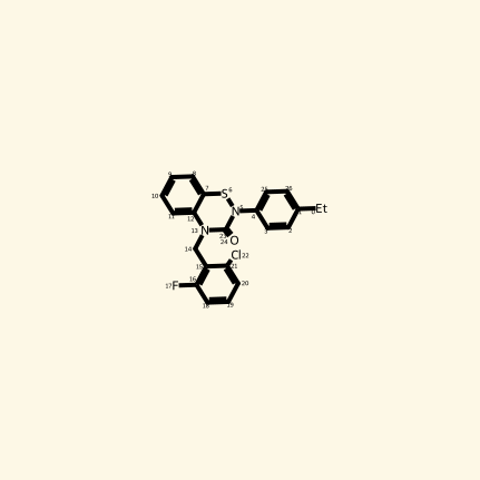 CCc1ccc(N2Sc3ccccc3N(Cc3c(F)cccc3Cl)C2=O)cc1